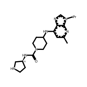 Cc1cc(NC2CCN(C(=O)N[C@H]3CCNC3)CC2)c2ncn(C(C)C)c2n1